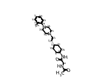 CC(=O)NCC(=O)N[C@H]1CC[C@H](CCN2CCN(c3ccccc3F)CC2)CC1